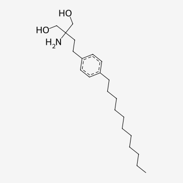 CCCCCCCCCCCc1ccc(CCC(N)(CO)CO)cc1